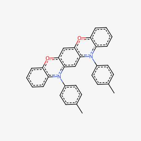 Cc1ccc(-n2c3ccccc3oc3cc4oc5ccccc5n(-c5ccc(C)cc5)c4cc32)cc1